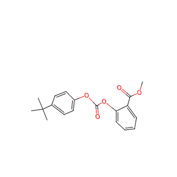 COC(=O)c1ccccc1OC(=O)Oc1ccc(C(C)(C)C)cc1